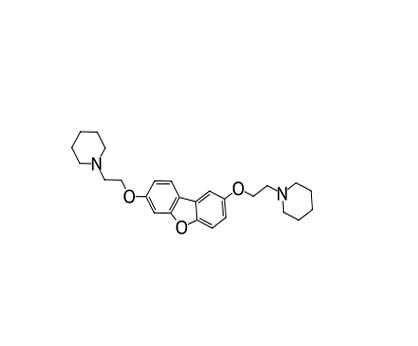 c1cc2c(cc1OCCN1CCCCC1)oc1ccc(OCCN3CCCCC3)cc12